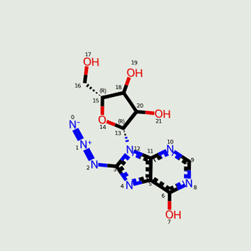 [N-]=[N+]=Nc1nc2c(O)ncnc2n1[C@@H]1O[C@H](CO)C(O)C1O